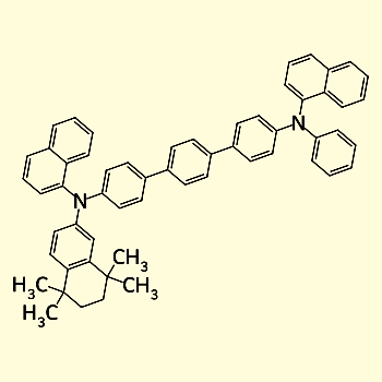 CC1(C)CCC(C)(C)c2cc(N(c3ccc(-c4ccc(-c5ccc(N(c6ccccc6)c6cccc7ccccc67)cc5)cc4)cc3)c3cccc4ccccc34)ccc21